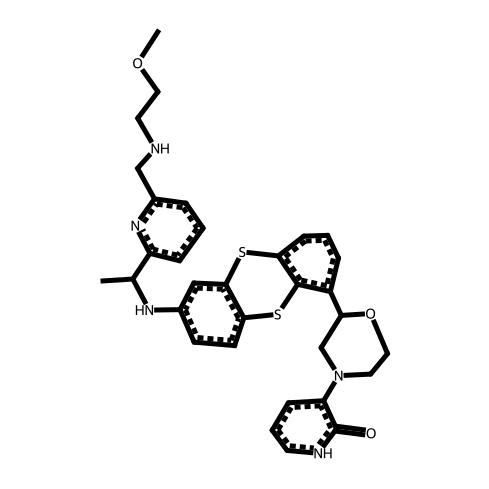 COCCNCc1cccc(C(C)Nc2ccc3c(c2)Sc2cccc(C4CN(c5ccc[nH]c5=O)CCO4)c2S3)n1